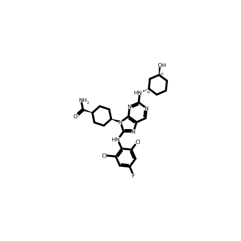 NC(=O)[C@H]1CC[C@@H](n2c(Nc3c(Cl)cc(F)cc3Cl)nc3cnc(N[C@H]4CCC[C@H](O)C4)nc32)CC1